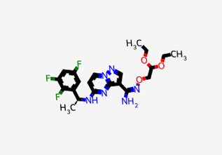 CCOC(CO/N=C(/N)c1cnn2ccc(N[C@H](C)c3cc(F)cc(F)c3F)nc12)OCC